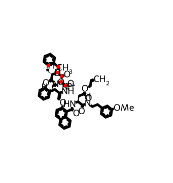 C=CCOC(=O)C[C@H](NC(=O)c1c(OC=C(Cc2ccccc2)NC(=O)[C@@H](COCc2ccccc2)N(C)C(=O)[C@H](CC(C)C)N(C)C(=O)OCCC)ccc2ccccc12)C(=O)NCCc1cccc(OC)c1